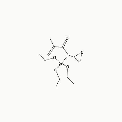 C=C(C)C(=O)C(C1CO1)[Si](OCC)(OCC)OCC